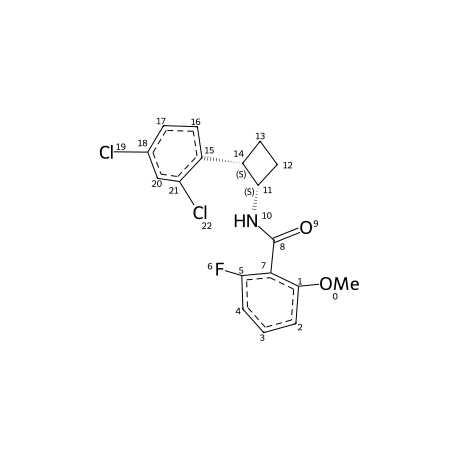 COc1cccc(F)c1C(=O)N[C@H]1CC[C@H]1c1ccc(Cl)cc1Cl